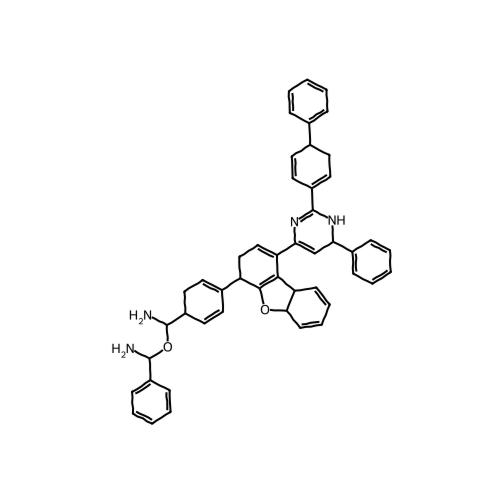 NC(OC(N)C1C=CC(C2CC=C(C3=CC(c4ccccc4)NC(C4=CCC(c5ccccc5)C=C4)=N3)C3=C2OC2C=CC=CC32)=CC1)c1ccccc1